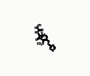 CCCNC(=O)NC1C(=O)N2C(C(=O)O)=C(CSc3ncsn3)CS[C@@H]12